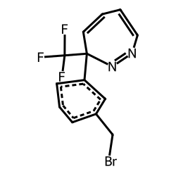 FC(F)(F)C1(c2cccc(CBr)c2)C=CC=CN=N1